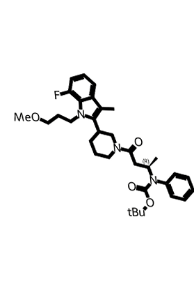 COCCCn1c(C2CCCN(C(=O)C[C@@H](C)N(C(=O)OC(C)(C)C)c3ccc(Br)cc3)C2)c(C)c2cccc(F)c21